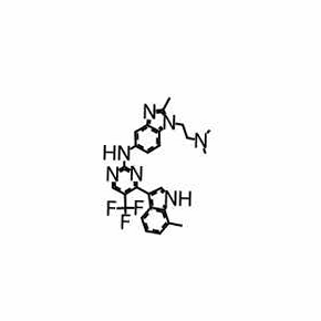 Cc1cccc2c(-c3nc(Nc4ccc5c(c4)nc(C)n5CCN(C)C)ncc3C(F)(F)F)c[nH]c12